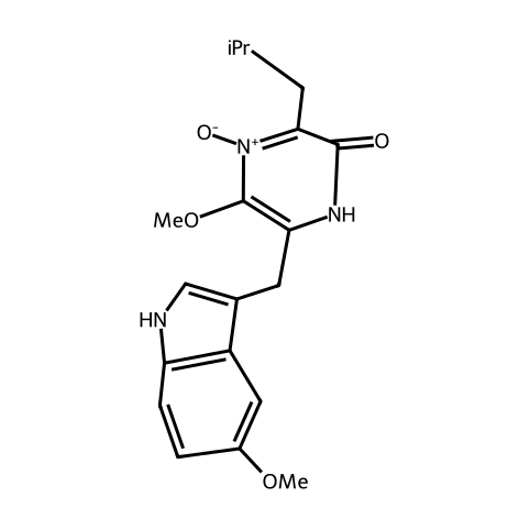 COc1ccc2[nH]cc(Cc3[nH]c(=O)c(CC(C)C)[n+]([O-])c3OC)c2c1